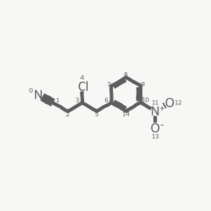 N#CCC(Cl)Cc1cccc([N+](=O)[O-])c1